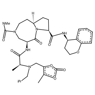 CNC(=O)N1CC[C@H]2CC[C@@H](C(=O)N[C@@H]3CCOc4ccccc43)N2C(=O)[C@@H](NC(=O)[C@H](C)N(Cc2oc(=O)oc2C)CC(C)C)C1